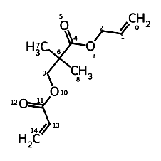 C=CCOC(=O)C(C)(C)COC(=O)C=C